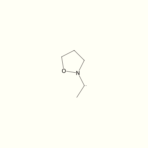 C[CH]N1CCCO1